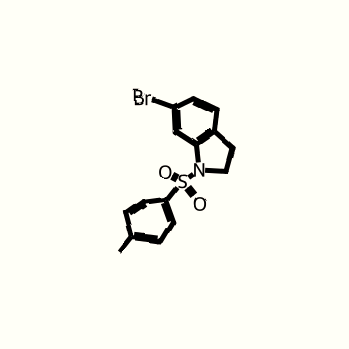 Cc1ccc(S(=O)(=O)N2CCc3ccc(Br)cc32)cc1